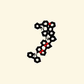 c1ccc(-c2ccc(-c3ccccc3N(c3ccc(-c4ccc(-n5c6ccccc6c6ccccc65)cc4)cc3)c3ccc4c(c3)C3(c5ccccc5-c5ccccc53)c3cccc5c6ccccc6n-4c35)cc2)cc1